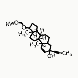 CC#CC1(O)C=C[C@@]2(C)C(CC[C@@H]3[C@H]2CC[C@]2(C)C(OCOC)CC[C@@H]32)C1